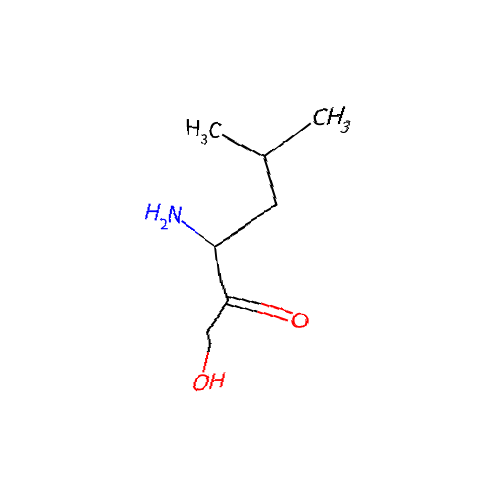 CC(C)CC(N)C(=O)CO